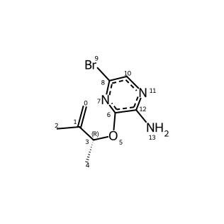 C=C(C)[C@@H](C)Oc1nc(Br)cnc1N